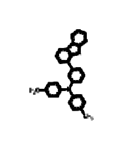 Cc1ccc(N(c2ccc(C)cc2)c2cccc(-c3cccc4c3sc3ccccc34)c2)cc1